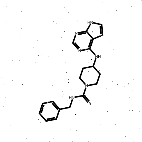 S=C(NCc1ccccc1)N1CCC(Nc2ncnc3[nH]ccc23)CC1